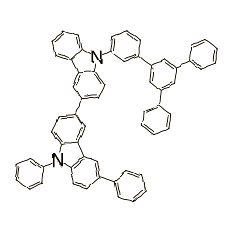 c1ccc(-c2cc(-c3ccccc3)cc(-c3cccc(-n4c5ccccc5c5cc(-c6ccc7c(c6)c6cc(-c8ccccc8)ccc6n7-c6ccccc6)ccc54)c3)c2)cc1